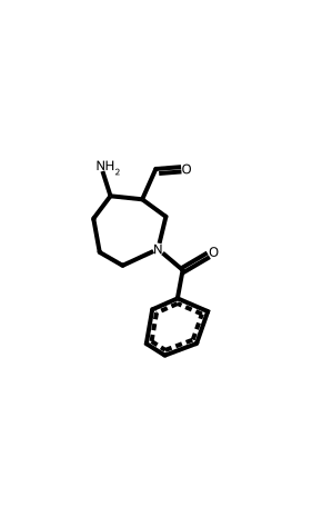 NC1CCCN(C(=O)c2ccccc2)CC1C=O